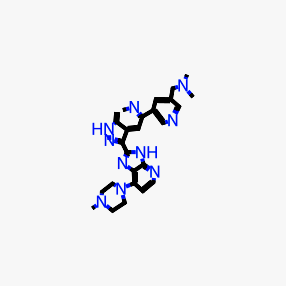 C=c1[nH]nc(-c2nc3c(N4CCN(C)CC4)ccnc3[nH]2)/c1=C/C(=N\C)c1cncc(CN(C)C)c1